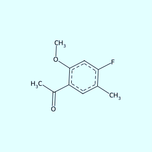 COc1cc(F)c(C)cc1C(C)=O